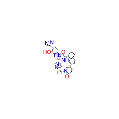 CC(C)n1cc(-c2ccc3c(c2)[C@H](C(NC(=O)c2ccnn2C)C(=O)Nc2ccc(-c4cncn4C)c(O)c2)CCC3)ccc1=O